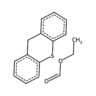 CCOC=O.c1ccc2c(c1)Cc1ccccc1S2